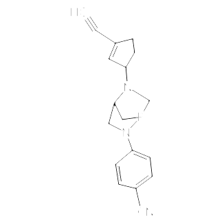 C#CC1=CC(N2CP3CC2CN3c2ccc(C#N)cc2)CC1